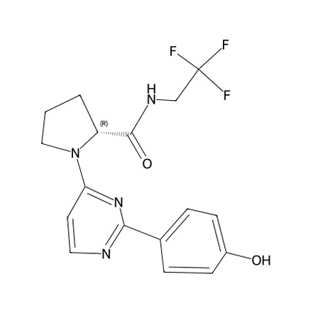 O=C(NCC(F)(F)F)[C@H]1CCCN1c1ccnc(-c2ccc(O)cc2)n1